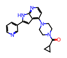 O=C(C1CC1)N1CCN(c2ccnc3[nH]c(-c4cccnc4)cc23)CC1